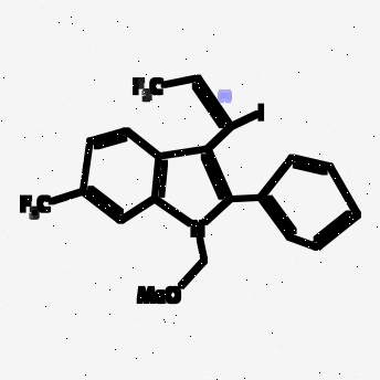 COCn1c(-c2ccccc2)c(/C(I)=C\C(F)(F)F)c2ccc(C(F)(F)F)cc21